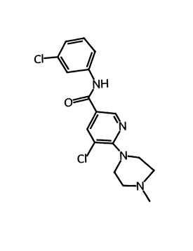 CN1CCN(c2ncc(C(=O)Nc3cccc(Cl)c3)cc2Cl)CC1